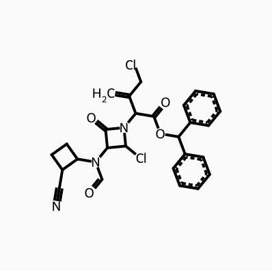 C=C(CCl)C(C(=O)OC(c1ccccc1)c1ccccc1)N1C(=O)C(N(C=O)C2CCC2C#N)C1Cl